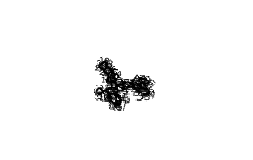 c1ccc(-c2cc(N(c3ccc4c(c3)sc3cc5ccccc5cc34)c3ccc4c(c3)c3ccccc3n4-c3ccccc3)cc3ccccc23)cc1